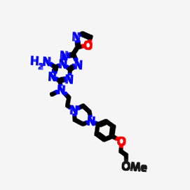 COCCOc1ccc(N2CCN(CCN(C)c3nc(N)n4nc(-c5ncco5)nc4n3)CC2)cc1